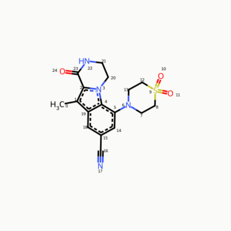 Cc1c2n(c3c(N4CCS(=O)(=O)CC4)cc(C#N)cc13)CCNC2=O